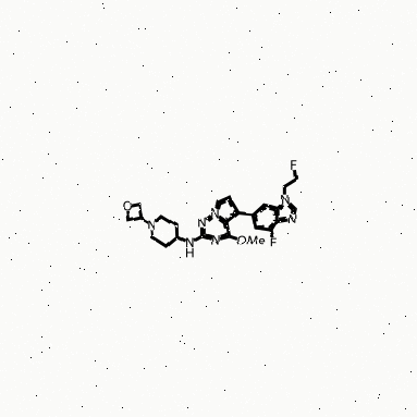 COc1nc(NC2CCN(C3COC3)CC2)nn2ccc(-c3cc(F)c4ncn(CCF)c4c3)c12